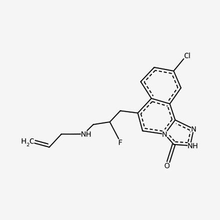 C=CCNCC(F)Cc1cn2c(=O)[nH]nc2c2cc(Cl)ccc12